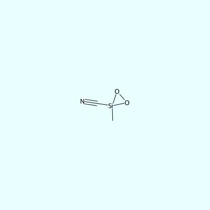 C[Si]1(C#N)OO1